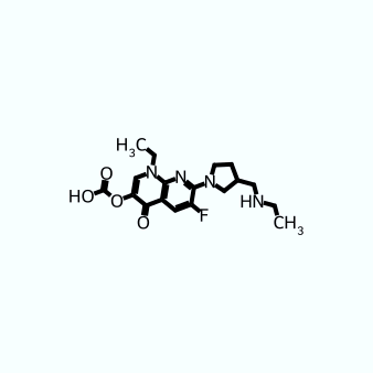 CCNCC1CCN(c2nc3c(cc2F)c(=O)c(OC(=O)O)cn3CC)C1